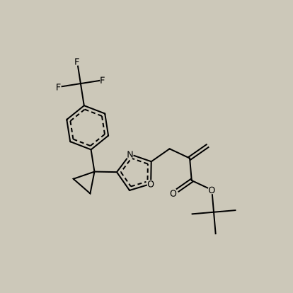 C=C(Cc1nc(C2(c3ccc(C(F)(F)F)cc3)CC2)co1)C(=O)OC(C)(C)C